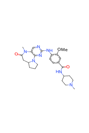 COc1cc(C(=O)NC2CCN(C)CC2)ccc1Nc1ncc2c(n1)N1CCCC1CC(=O)N2C